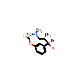 CC[C@](O)(c1cccc(OCF)c1)[C@@H](C)CN(C)C